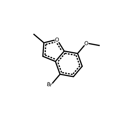 COc1ccc(Br)c2cc(C)oc12